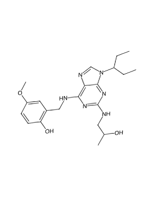 CCC(CC)n1cnc2c(NCc3cc(OC)ccc3O)nc(NCC(C)O)nc21